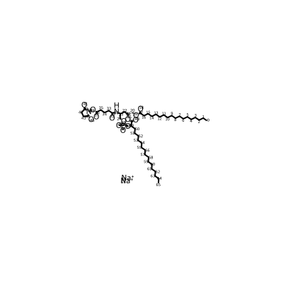 CCCCCCCCCCCCCCCCCC(=O)OC[C@@H](CC(COP(=O)([O-])[O-])NC(=O)CCCC(=O)ON1C(=O)CCC1=O)OC(=O)CCCCCCCCCCCCCCCCC.[Na+].[Na+]